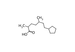 CC(CCC1CCCC1)CCC(C)C(=O)O